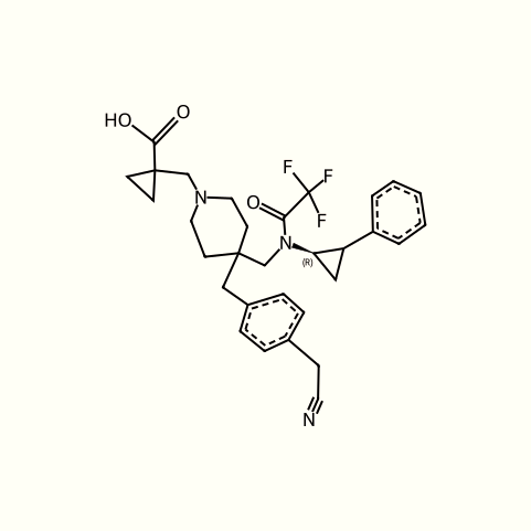 N#CCc1ccc(CC2(CN(C(=O)C(F)(F)F)[C@@H]3CC3c3ccccc3)CCN(CC3(C(=O)O)CC3)CC2)cc1